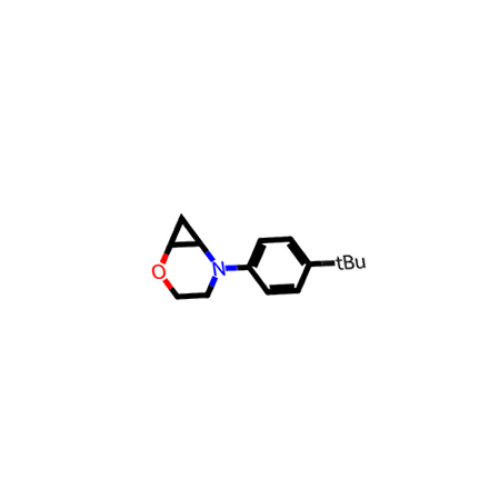 CC(C)(C)c1ccc(N2CCOC3CC32)cc1